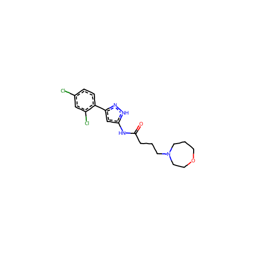 O=C(CCCN1CCCOCC1)Nc1cc(-c2ccc(Cl)cc2Cl)n[nH]1